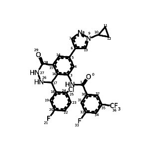 O=C(Nc1cc(-c2cnn(C3CC3)c2)cc2c1C(c1cc(F)ccc1Cl)NNC2=O)c1cc(F)cc(C(F)(F)F)c1